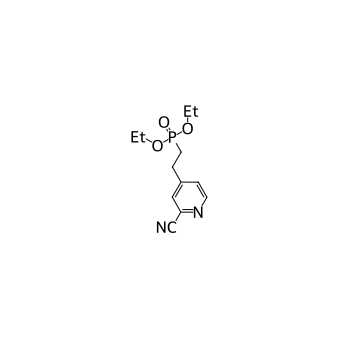 CCOP(=O)(CCc1ccnc(C#N)c1)OCC